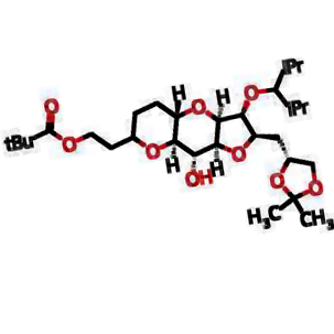 CC(C)C(O[C@@H]1[C@@H]2O[C@H]3CCC(CCOC(=O)C(C)(C)C)O[C@@H]3[C@@H](O)[C@@H]2O[C@@H]1C[C@@H]1COC(C)(C)O1)C(C)C